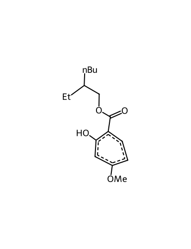 CCCCC(CC)COC(=O)c1ccc(OC)cc1O